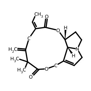 C=C1C/C(=C/C)C(=O)O[C@@H]2CCN3CC=C(COC(=O)C1(C)C)[C@H]23